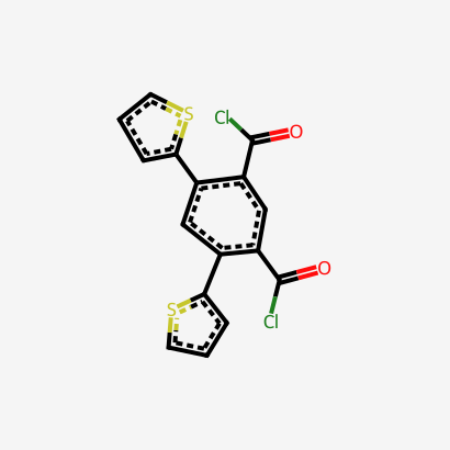 O=C(Cl)c1cc(C(=O)Cl)c(-c2cccs2)cc1-c1cccs1